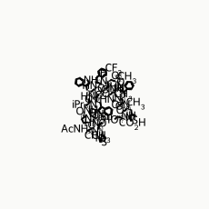 CC[C@H](C)[C@@H](NC(=O)[C@H](Cc1cscn1)N(C)C(=O)[C@H](C)NC(C)=O)C(=O)N1CCC[C@H]1C(=O)N[C@H](C(=O)N[C@H](Cc1c[nH]c2ccccc12)C(=O)N[C@H](Cc1c[nH]c2ccccc12)C(=O)N[C@@H](Cc1ccc(C(F)(F)F)cc1)C(=O)N[C@@H](CCS(C)(=O)=O)C(=O)N[C@@H](C)C(=O)NC(=O)N[C@@H](Cc1c[nH]c2ccccc12)C(=O)N(C)[C@@H](Cc1cscn1)C(=O)N[C@@H](CO)C(=O)O)C(C)C